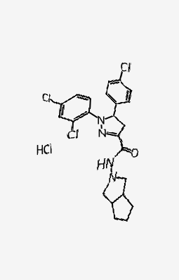 Cl.O=C(NN1CC2CCCC2C1)C1=NN(c2ccc(Cl)cc2Cl)C(c2ccc(Cl)cc2)C1